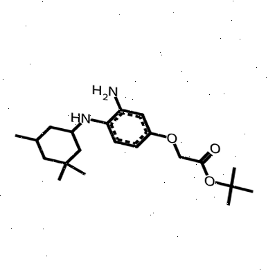 CC1CC(Nc2ccc(OCC(=O)OC(C)(C)C)cc2N)CC(C)(C)C1